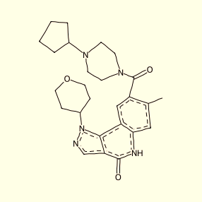 Cc1cc2[nH]c(=O)c3cnn(C4CCOCC4)c3c2cc1C(=O)N1CCN(C2CCCC2)CC1